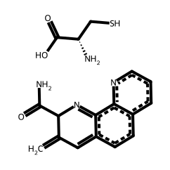 C=C1C=c2ccc3cccnc3c2=NC1C(N)=O.N[C@@H](CS)C(=O)O